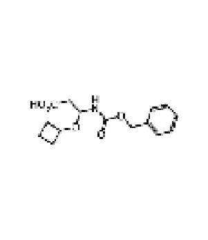 O=C(O)CC(NC(=O)OCc1ccccc1)OC1CCC1